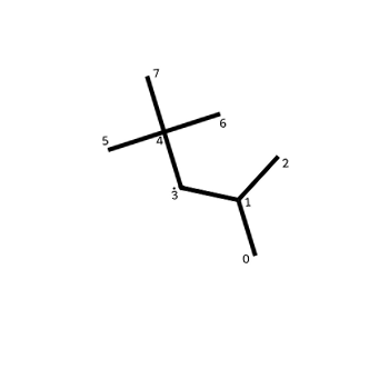 CC(C)[CH]C(C)(C)C